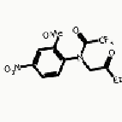 CCC(=O)CN(C(=O)C(F)(F)F)c1ccc([N+](=O)[O-])cc1OC